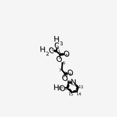 C=C(C)C(=O)OCCC(=O)Oc1ncccc1O